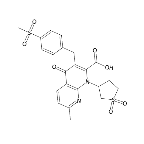 Cc1ccc2c(=O)c(Cc3ccc(S(C)(=O)=O)cc3)c(C(=O)O)n(C3CCS(=O)(=O)C3)c2n1